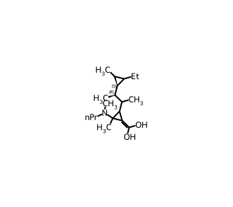 CCCN(C)C1(C)C(=C(O)O)C1C(C)[C@@H](C)[C@H]1C(C)C1CC